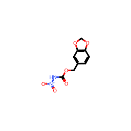 O=C(N[N+](=O)[O-])OCc1ccc2c(c1)OCO2